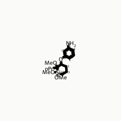 CCCC1(OC)C(Oc2cccc(N)c2)CCC[Si]1(OC)OC